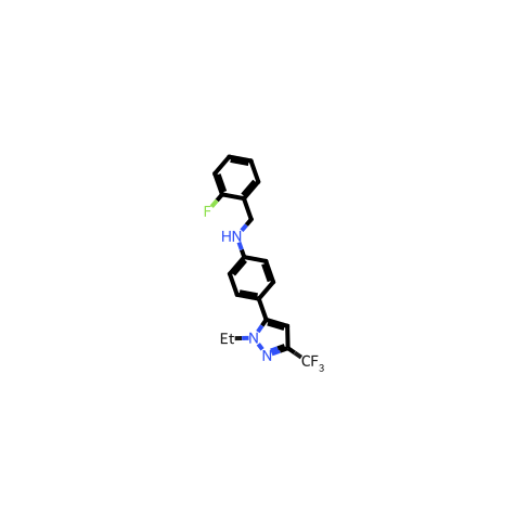 CCn1nc(C(F)(F)F)cc1-c1ccc(NCc2ccccc2F)cc1